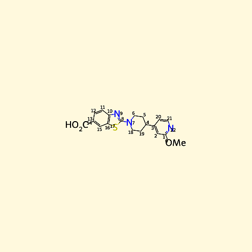 COc1cc(C2CCN(c3nc4ccc(C(=O)O)cc4s3)CC2)ccn1